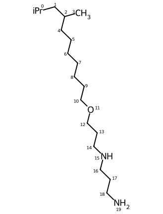 CC(C)CC(C)CCCCCCCOCCCNCCCN